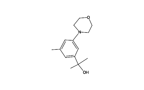 Cc1cc(N2CCOCC2)cc(C(C)(C)O)c1